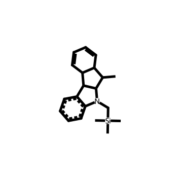 CC1C2C=CC=CC2C2c3ccccc3N(C[Si](C)(C)C)C12